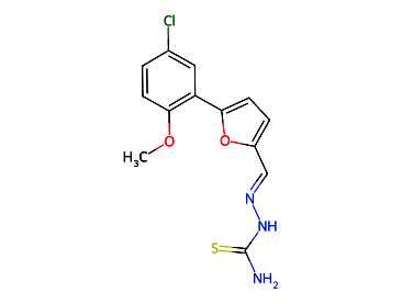 COc1ccc(Cl)cc1-c1ccc(C=NNC(N)=S)o1